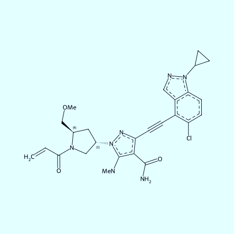 C=CC(=O)N1C[C@@H](n2nc(C#Cc3c(Cl)ccc4c3cnn4C3CC3)c(C(N)=O)c2NC)C[C@@H]1COC